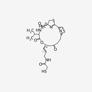 CC(C)C1NC(=O)[C@]2(C)CSC(=N2)c2csc(n2)CCC(=O)C[C@@H](/C=C/CNC(=O)CS)OC1=O